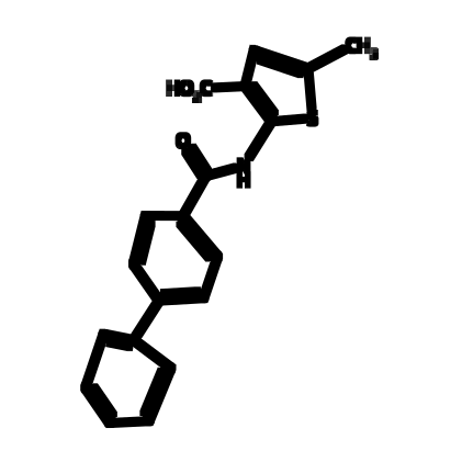 Cc1cc(C(=O)O)c(NC(=O)c2ccc(-c3ccccc3)cc2)s1